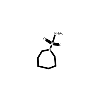 CC(=O)NS(=O)(=O)N1CCCCCC1